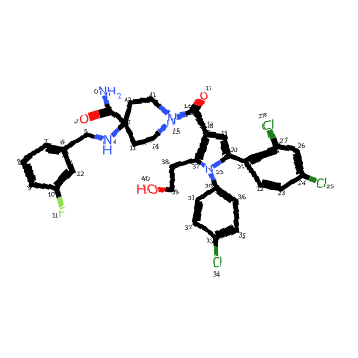 NC(=O)C1(NCc2cccc(F)c2)CCN(C(=O)c2cc(-c3ccc(Cl)cc3Cl)n(-c3ccc(Cl)cc3)c2CCO)CC1